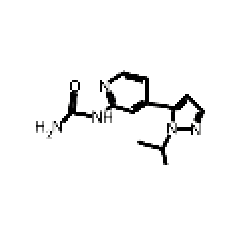 CC(C)n1nccc1-c1ccnc(NC(N)=O)c1